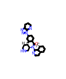 Cc1cc(-n2nnc3cccnc32)ccc1C(=O)N(c1nccc2cccc(C)c12)[C@@H]1CCCNC1